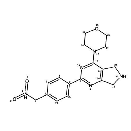 O=[SH](=O)Cc1ccc(-c2nc3c(c(N4CCOCC4)n2)CNC3)cc1